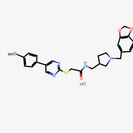 COc1ccc(-c2cnc(SCC(=O)NCC3CCN(Cc4ccc5c(c4)OCO5)C3)nc2)cc1.Cl